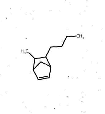 CCCCC1C2C=CC(C2)C1C